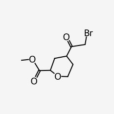 COC(=O)C1CC(C(=O)CBr)CCO1